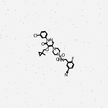 CC1(COc2c(N3CCN(S(=O)(=O)NCc4cc(C#N)ccc4F)CC3)cnn(-c3cccc(Cl)c3)c2=O)CC1